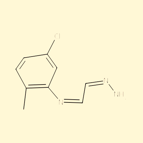 Cc1ccc(Cl)cc1/N=C\C=N/N